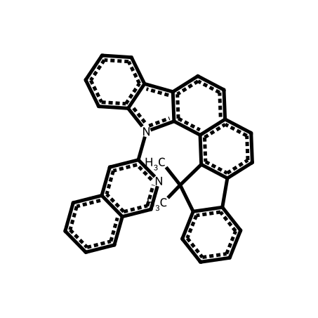 CC1(C)c2ccccc2-c2ccc3ccc4c5ccccc5n(-c5cc6ccccc6cn5)c4c3c21